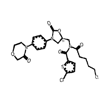 O=C(CCCCCl)N(C[C@H]1CN(c2ccc(N3CCOCC3=O)cc2)C(=O)O1)C(=O)c1ccc(Cl)s1